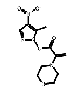 C=C(C(=O)On1ncc([N+](=O)[O-])c1C)N1CCOCC1